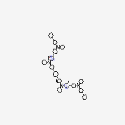 C=C/C=C(\C=C/Cc1ccc(N(c2ccccc2)c2ccc(-c3ccccc3)cc2)cc1)N(c1ccccc1)c1ccc(-c2ccc(-c3ccc(N(c4ccccc4)C(/C=C\C(=C/C)c4ccc(N(c5ccccc5)c5ccc(-c6ccccc6)cc5)cc4)CC)cc3)cc2)cc1